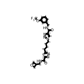 O=C(NCc1cccc(OC(F)(F)F)c1)c1cn(CCCCc2nnc(C(=O)NCC3COC3)s2)nn1